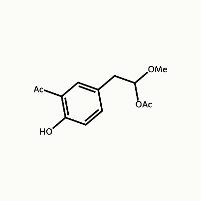 COC(Cc1ccc(O)c(C(C)=O)c1)OC(C)=O